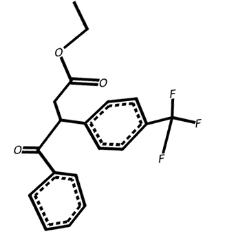 CCOC(=O)CC(C(=O)c1ccccc1)c1ccc(C(F)(F)F)cc1